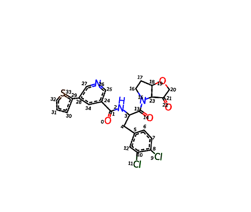 O=C(NC(Cc1ccc(Cl)c(Cl)c1)C(=O)N1CCC2OCC(=O)C21)c1cncc(-c2cccs2)c1